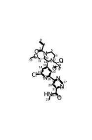 C=CC(=O)N1CCN(S(C)(=O)=O)[C@@H](c2cc(Cl)nc(-c3cc(C(=O)NC)ncn3)c2)[C@@H]1COC